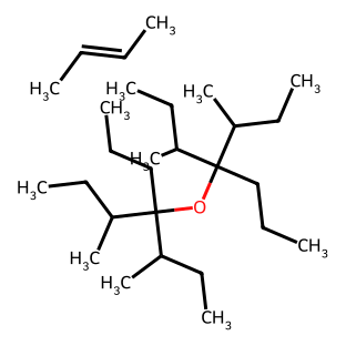 CC=CC.CCCC(OC(CCC)(C(C)CC)C(C)CC)(C(C)CC)C(C)CC